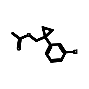 CC(=O)OCC1(c2cccc(Cl)c2)CC1